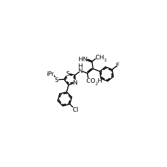 CC(=N)/C(=C(\Nc1nc(-c2cccc(Cl)c2)c(SC(C)C)s1)C(=O)O)c1cccc(F)c1